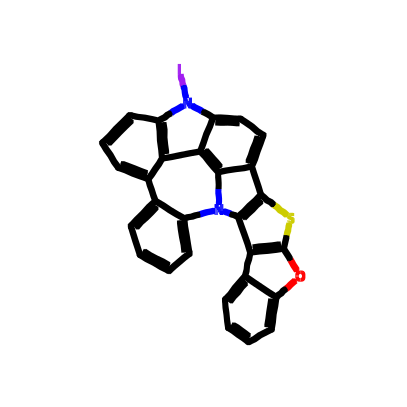 In1c2cccc3c4ccccc4n4c5c(ccc1c5c32)c1sc2oc3ccccc3c2c14